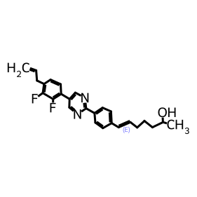 C=CCc1ccc(-c2cnc(-c3ccc(/C=C/CCCC(C)O)cc3)nc2)c(F)c1F